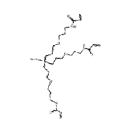 C=CC(=O)NCCCOCCCC(CCCOCCCNC(=O)C=C)(CCCOCCCNC(=O)C=C)NC(C)=O